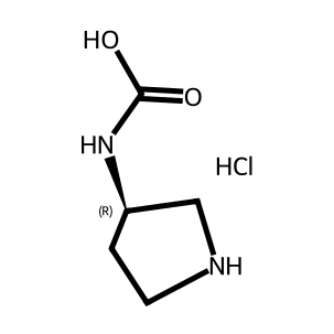 Cl.O=C(O)N[C@@H]1CCNC1